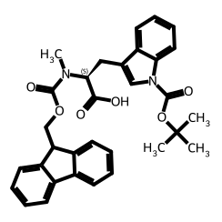 CN(C(=O)OCC1c2ccccc2-c2ccccc21)[C@@H](Cc1cn(C(=O)OC(C)(C)C)c2ccccc12)C(=O)O